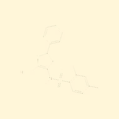 Cc1ccc(S(=O)(=O)N(C2=C(C(=O)O)SC(c3ccccc3)C2)C(C)C)c(C)c1